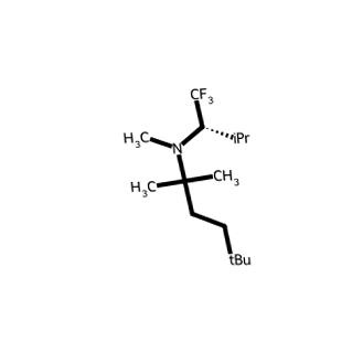 CC(C)[C@H](N(C)C(C)(C)CCC(C)(C)C)C(F)(F)F